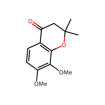 COc1ccc2c(c1OC)OC(C)(C)CC2=O